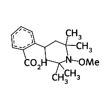 CON1C(C)(C)CC(c2ccccc2C(=O)O)CC1(C)C